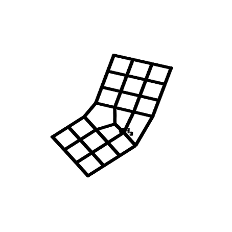 CC12C34C5C6CC7C8CC9C%10C%11C%12C%13C%14CC%15C%16CC%17C%18C5C15C%181C%16%17C%15%14C%131C%125C%112C%103C89C764